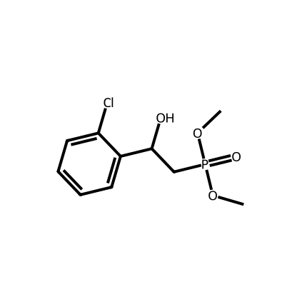 COP(=O)(CC(O)c1ccccc1Cl)OC